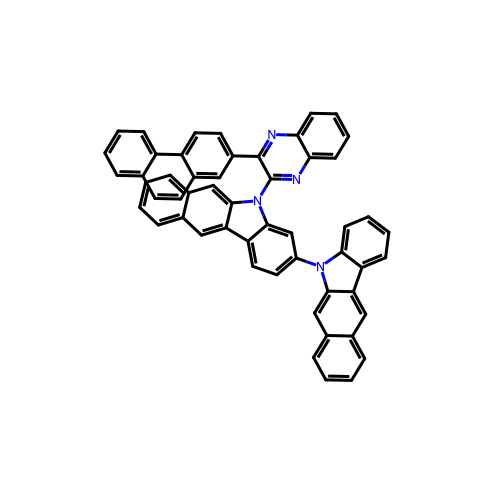 c1ccc2cc3c(cc2c1)c1ccccc1n3-c1ccc2c3cc4ccccc4cc3n(-c3nc4ccccc4nc3-c3ccc4c(ccc5ccccc54)c3)c2c1